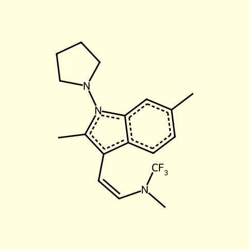 Cc1ccc2c(/C=C\N(C)C(F)(F)F)c(C)n(N3CCCC3)c2c1